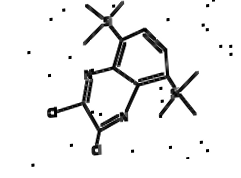 C[Si](C)(C)c1ccc([Si](C)(C)C)c2nc(Cl)c(Cl)nc12